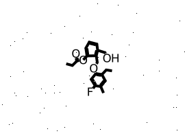 CCC(=O)Oc1cccc(CO)c1COc1cc(F)c(C)cc1CC